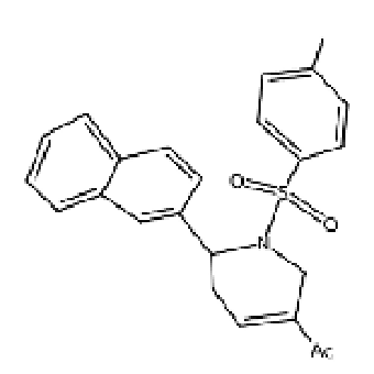 CC(=O)C1=CCC(c2ccc3ccccc3c2)N(S(=O)(=O)c2ccc(C)cc2)C1